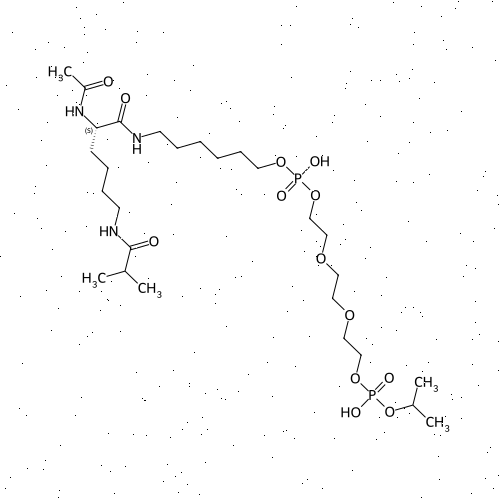 CC(=O)N[C@@H](CCCCNC(=O)C(C)C)C(=O)NCCCCCCOP(=O)(O)OCCOCCOCCOP(=O)(O)OC(C)C